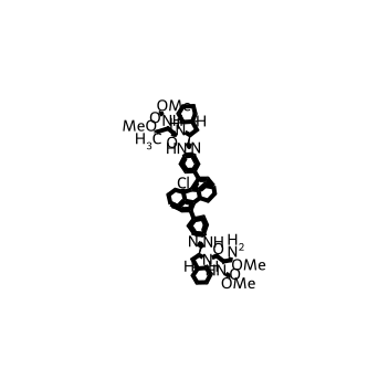 COC(=O)N[C@H](C(=O)N1[C@H](c2nc3cc(-c4cc5cc6c4C4(Cl)CCc7cc(-c8ccc9[nH]c([C@@H]%10C[C@@H]%11CCCC[C@@H]%11N%10C(=O)[C@@H](NC(=O)OC)[C@@H](N)OC)nc9c8)c(c4c7)C6CC5)ccc3[nH]2)C[C@@H]2CCCC[C@@H]21)[C@@H](C)OC